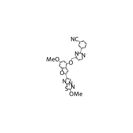 COc1cc(OCc2ccnc(-c3cccc(C#N)c3)n2)c2cc(-c3cn4nc(OC)sc4n3)oc2c1